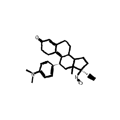 C#C[C@@]1(N=O)CCC2C3CCC4=CC(=O)CCC4=C3[C@@H](c3ccc(N(C)C)cc3)CC21C